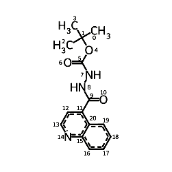 CC(C)(C)OC(=O)NNC(=O)c1ccnc2ccccc12